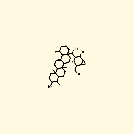 CC1CCCC2(C(O)C3OC(CO)C4OC4C3O)CCC3C(=CCC4C3(C)CCC3C(C)C(O)CCC34C)C12